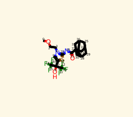 COCCn1cc(C(O)(C(F)(F)F)C(F)(F)F)s/c1=N\C(=O)C12CC3CC(CC(C3)C1)C2